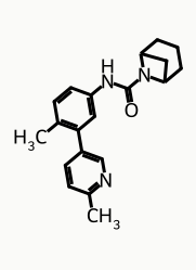 Cc1ccc(-c2cc(NC(=O)N3C4CCCC3C4)ccc2C)cn1